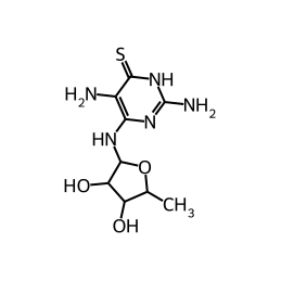 CC1OC(Nc2nc(N)[nH]c(=S)c2N)C(O)C1O